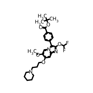 COc1cn2c(-c3ccc(C(=O)OC(C)(C)C)cc3)c(OC(F)F)nc2cc1OCCCN1CCCCC1